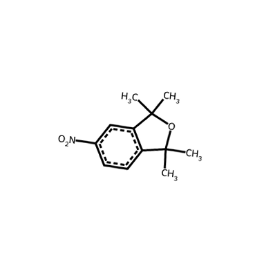 CC1(C)OC(C)(C)c2cc([N+](=O)[O-])ccc21